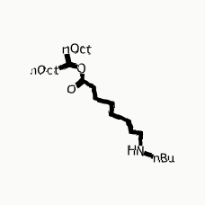 CCCCCCCCC(CCCCCCCC)OC(=O)CCCCCCCNCCCC